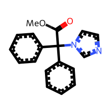 COC(=O)C(c1ccccc1)(c1ccccc1)n1ccnc1